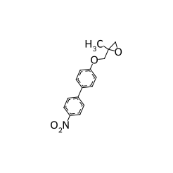 CC1(COc2ccc(-c3ccc([N+](=O)[O-])cc3)cc2)CO1